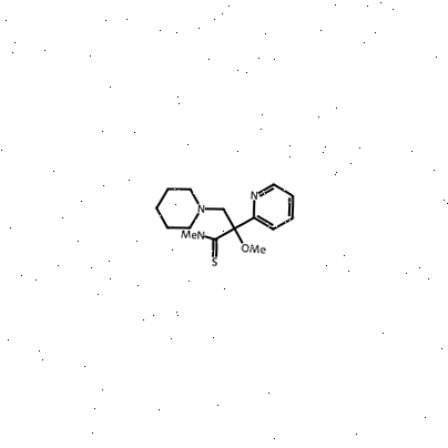 CNC(=S)C(CN1CCCCC1)(OC)c1ccccn1